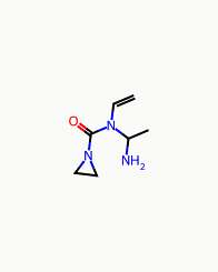 C=CN(C(=O)N1CC1)C(C)N